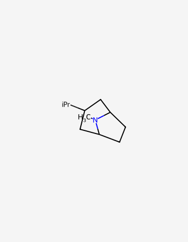 CC(C)C1CC2CCC(C1)N2C